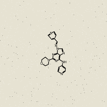 C(=Nn1cnc2c(Nc3ccncc3)nc(N3CCOCC3)nc21)c1ccncc1